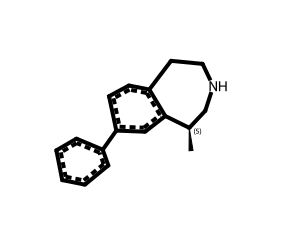 C[C@@H]1CNCCc2ccc(-c3ccccc3)cc21